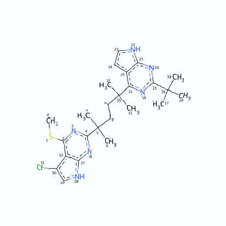 CSc1nc(C(C)(C)CCC(C)(C)c2nc(C(C)(C)C)nc3[nH]ccc23)nc2[nH]cc(Cl)c12